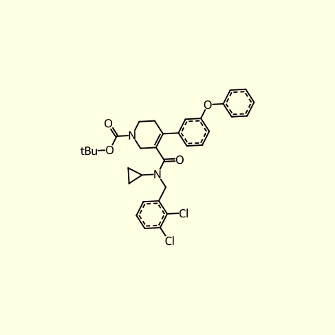 CC(C)(C)OC(=O)N1CCC(c2cccc(Oc3ccccc3)c2)=C(C(=O)N(Cc2cccc(Cl)c2Cl)C2CC2)C1